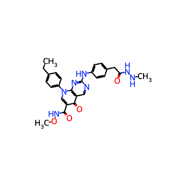 CCc1ccc(-n2cc(C(=O)NOC)c(=O)c3cnc(Nc4ccc(CC(=O)NNC)cc4)nc32)cc1